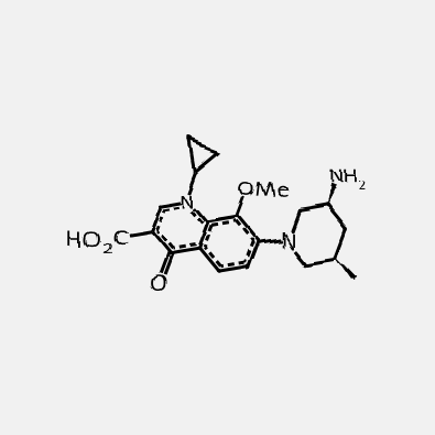 COc1c(N2C[C@H](C)C[C@H](N)C2)ccc2c(=O)c(C(=O)O)cn(C3CC3)c12